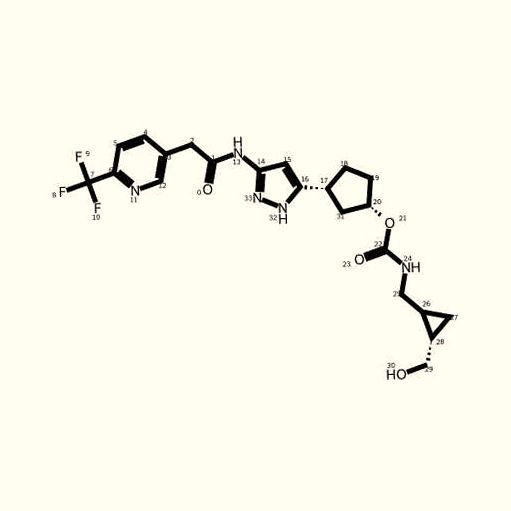 O=C(Cc1ccc(C(F)(F)F)nc1)Nc1cc([C@@H]2CC[C@H](OC(=O)NCC3C[C@@H]3CO)C2)[nH]n1